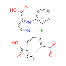 CC1(C(=O)O)C=CC=C(C(=O)O)C1.O=C(O)c1ccnn1-c1ccccc1F